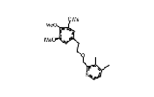 COc1cc(CCOCc2nccc(C)c2C)cc(OC)c1OC